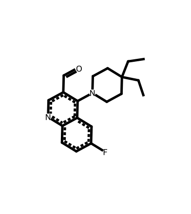 CCC1(CC)CCN(c2c(C=O)cnc3ccc(F)cc23)CC1